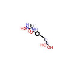 CC[C@H](NC(=O)c1ccc(C#C/C=C/C=C(\O)CO)cc1)C(=O)NO